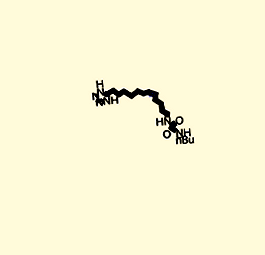 CCCCNC(=O)C(=O)NCCCC/C=C\CCCCCCC1NN=NN1